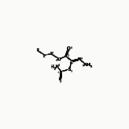 C=C(N)S/C(=N\N)C(=O)OCCC